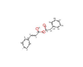 O=C(C=Cc1ccccc1)OC(=O)Cc1ccccc1